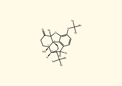 [2H]C([2H])([2H])Oc1ccc2c3c1OC1([2H])C(=O)CC[C@@]4(O)[C@H](N(C([2H])([2H])[2H])CC[C@]314)C2([2H])[2H]